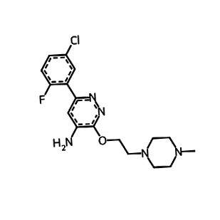 CN1CCN(CCOc2nnc(-c3cc(Cl)ccc3F)cc2N)CC1